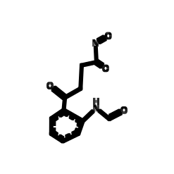 O=CNc1ccccc1C(=O)CCC(=O)N=O